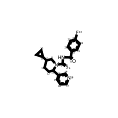 O=C(NC(=S)N1CC(C2CC2)CCC1c1cccnc1)c1ccc(F)cc1